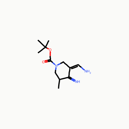 CC1CN(C(=O)OC(C)(C)C)C/C(=C/N)C1=N